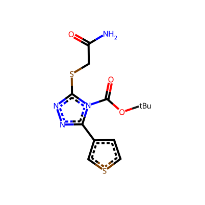 CC(C)(C)OC(=O)n1c(SCC(N)=O)nnc1-c1ccsc1